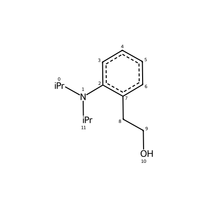 CC(C)N(c1ccccc1CCO)C(C)C